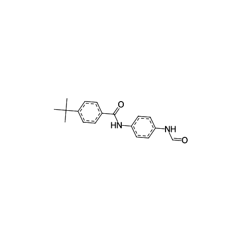 CC(C)(C)c1ccc(C(=O)Nc2ccc(NC=O)cc2)cc1